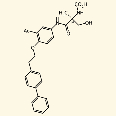 CC(=O)c1cc(NC(=O)[C@](C)(CO)NC(=O)O)ccc1OCCc1ccc(-c2ccccc2)cc1